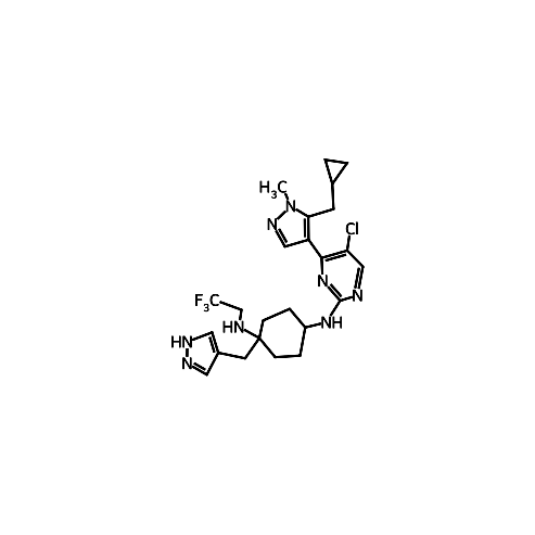 Cn1ncc(-c2nc(NC3CCC(Cc4cn[nH]c4)(NCC(F)(F)F)CC3)ncc2Cl)c1CC1CC1